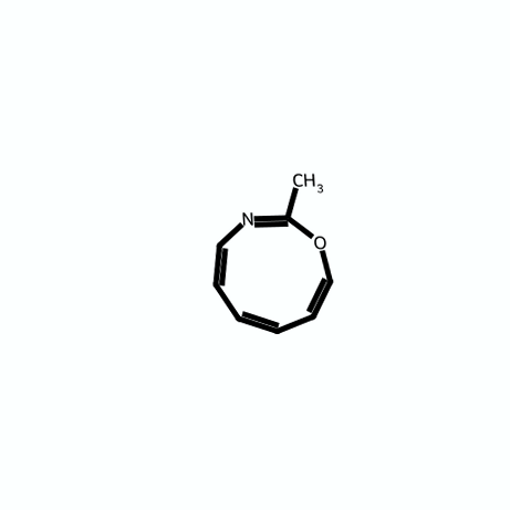 Cc1ncccccco1